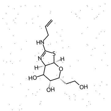 C=CCNC1=N[C@@H]2C(O)[C@@H](O)[C@@H](CCO)O[C@@H]2S1